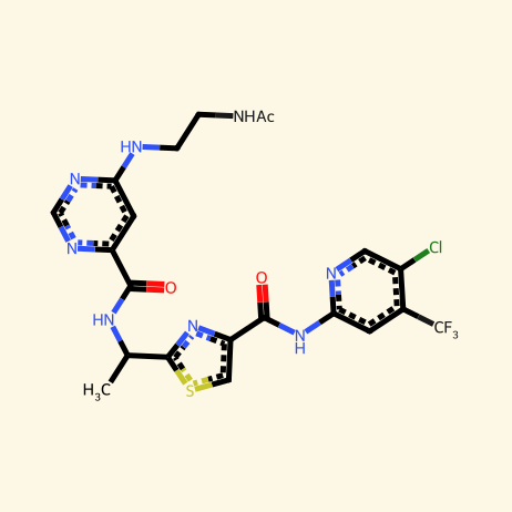 CC(=O)NCCNc1cc(C(=O)NC(C)c2nc(C(=O)Nc3cc(C(F)(F)F)c(Cl)cn3)cs2)ncn1